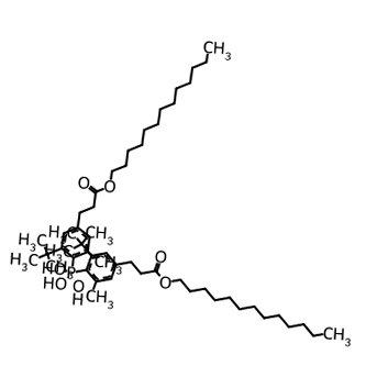 CCCCCCCCCCCCCOC(=O)CCc1cc(C)c(P(O)(O)(O)c2c(C)cc(CCC(=O)OCCCCCCCCCCCCC)cc2C(C)(C)C)c(C(C)(C)C)c1